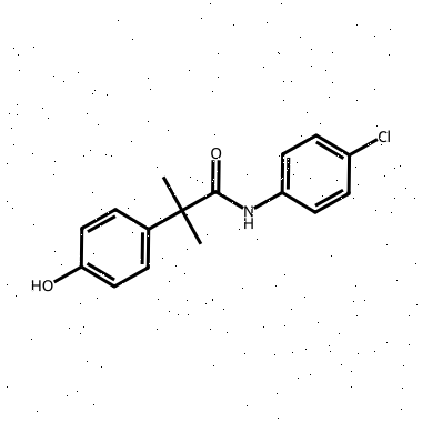 CC(C)(C(=O)Nc1ccc(Cl)cc1)c1ccc(O)cc1